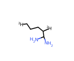 [2H]CCCC([2H])C(N)N